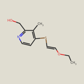 CCOC=CSc1ccnc(CO)c1C